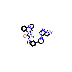 C[C@@H]1CCCN1c1ccccc1NC(=O)CNc1cccc(C2CCCN(c3ncnc4[nH]ccc34)C2)c1